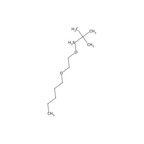 CCCCCOCCO[SiH2]C(C)(C)C